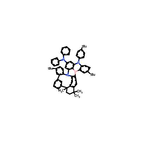 CC(C)(C)c1ccc(N2c3ccc(C(C)(C)C)cc3B3c4cc5c6cc4N(c4ccc(C(C)(C)C)cc4-c4cccc(c4)C6(C)CCC5(C)C)c4cc(N(c5ccccc5)c5ccccc5)cc2c43)cc1